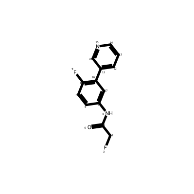 O=C(CF)Nc1ccc(F)c(-c2cccnc2)c1